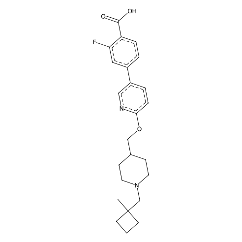 CC1(CN2CCC(COc3ccc(-c4ccc(C(=O)O)c(F)c4)cn3)CC2)CCC1